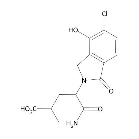 CC(CC(C(N)=O)N1Cc2c(ccc(Cl)c2O)C1=O)C(=O)O